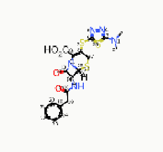 CN(C)c1nnc(SC2=C(C(=O)O)N3C(=O)[C@@H](NC(=O)Cc4ccccc4)[C@H]3SC2)s1